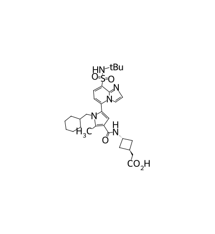 Cc1c(C(=O)N[C@H]2C[C@H](CC(=O)O)C2)cc(-c2ccc(S(=O)(=O)NC(C)(C)C)c3nccn23)n1CC1CCCCC1